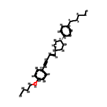 CCCCCc1ccc([C@H]2CC[C@H](C=CC#Cc3ccc(OCCCC)cc3)CC2)cc1